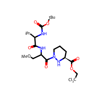 COCC(NC(=O)C(NC(=O)OC(C)(C)C)C(C)C)C(=O)N1CCC[C@@H](C(=O)OCC(Cl)(Cl)Cl)N1